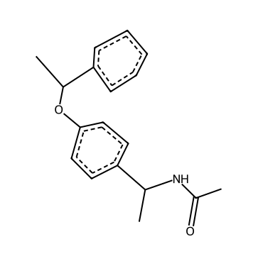 CC(=O)NC(C)c1ccc(OC(C)c2ccccc2)cc1